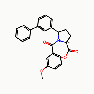 COc1cccc(C(=O)N2C(c3cccc(-c4ccccc4)c3)CC[C@H]2C(=O)O)c1